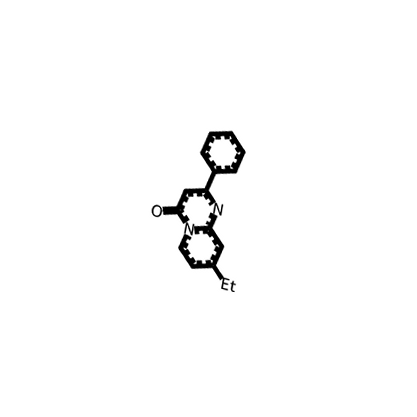 CCc1ccn2c(=O)cc(-c3ccccc3)nc2c1